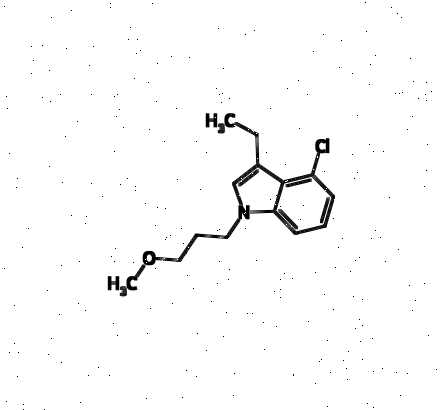 CCc1cn(CCCOC)c2cccc(Cl)c12